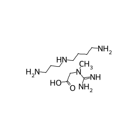 CN(CC(=O)O)C(=N)N.NCCCCNCCCN